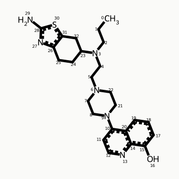 CCCN(CCN1CCN(c2ccnc3c(O)cccc23)CC1)C1CCc2nc(N)sc2C1